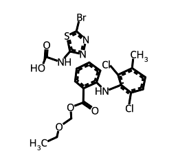 CCOCOC(=O)c1ccccc1Nc1c(Cl)ccc(C)c1Cl.O=C(O)Nc1nnc(Br)s1